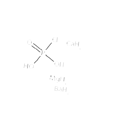 O=P(O)(O)Cl.[BaH2].[CaH2].[MgH2]